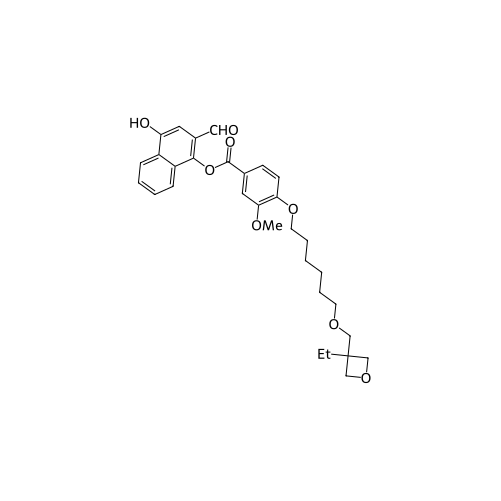 CCC1(COCCCCCCOc2ccc(C(=O)Oc3c(C=O)cc(O)c4ccccc34)cc2OC)COC1